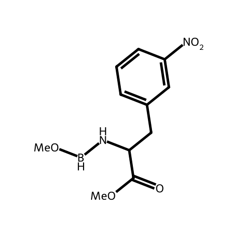 COBNC(Cc1cccc([N+](=O)[O-])c1)C(=O)OC